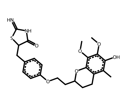 COc1c(O)c(C)c2c(c1OC)OC(CCOc1ccc(CC3SC(=N)NC3=O)cc1)CC2